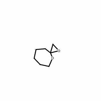 [CH]1CCCOC2(C1)CO2